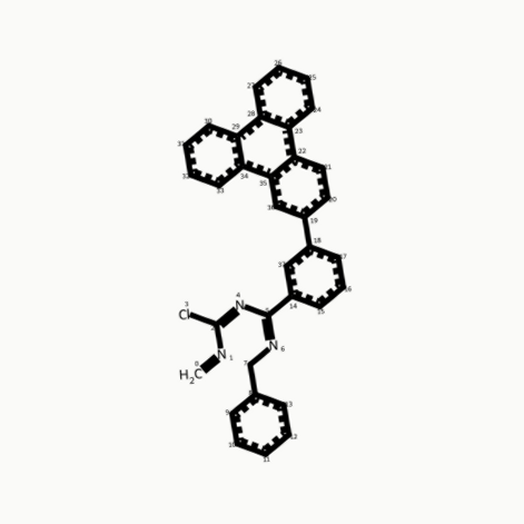 C=N/C(Cl)=N\C(=N/Cc1ccccc1)c1cccc(-c2ccc3c4ccccc4c4ccccc4c3c2)c1